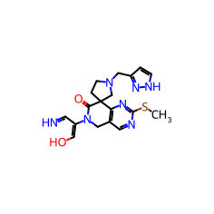 CSc1ncc2c(n1)C1(CCN(Cc3cc[nH]n3)C1)C(=O)N(/C(C=N)=C/O)C2